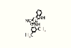 Cc1ccc(NS(=O)(=O)C(C#N)=Cc2c[nH]c3ccccc23)c(C)c1